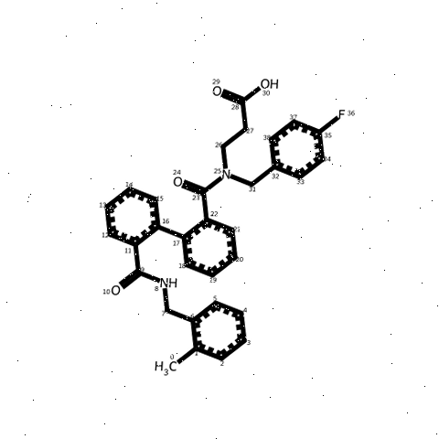 Cc1ccccc1CNC(=O)c1ccccc1-c1ccccc1C(=O)N(CCC(=O)O)Cc1ccc(F)cc1